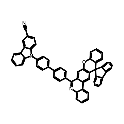 N#Cc1ccc2c(c1)c1ccccc1n2-c1ccc(-c2ccc(-c3nc4ccccc4c4cc5c(cc34)Oc3ccccc3C53c4ccccc4-c4ccccc43)cc2)cc1